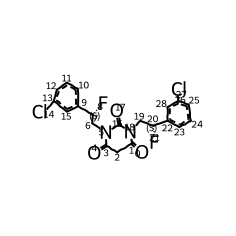 O=C1CC(=O)N(C[C@@H](F)c2cccc(Cl)c2)C(=O)N1C[C@@H](F)c1cccc(Cl)c1